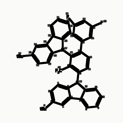 CC(C)(C)c1ccc2c(c1)c1ccccc1n2-c1ccc(-c2cc(F)cc(F)c2)c(-n2c3ccccc3c3cc(C(C)(C)C)ccc32)c1C(F)(F)F